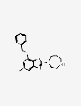 Clc1cc(NCc2ccccc2)c2oc(N3CCCNCC3)nc2c1